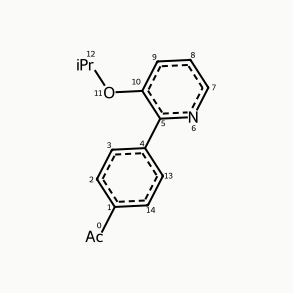 CC(=O)c1ccc(-c2ncccc2OC(C)C)cc1